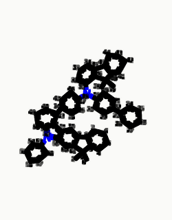 CC1(C)c2ccccc2-c2cc3c4c(-c5ccc(N(c6ccc(-c7ccccc7)cc6)c6cccc7c6C(C)(C)c6ccccc6-7)cc5)cccc4n(-c4ccccc4)c3cc21